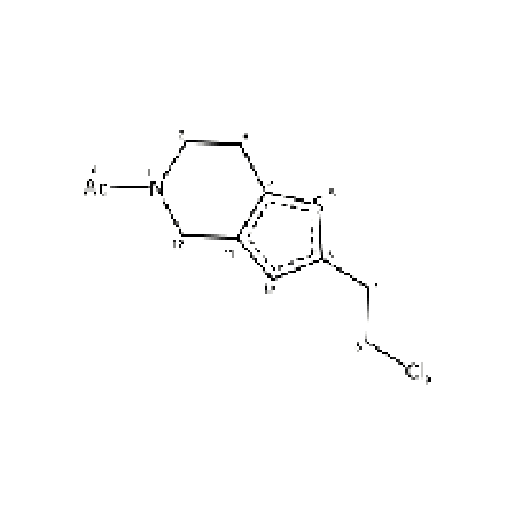 CC(=O)N1CCc2sc(CCCl)cc2C1